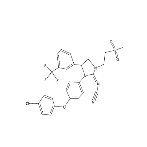 CS(=O)(=O)CCN1CC(c2cccc(C(F)(F)F)c2)N(c2ccc(Oc3ccc(Cl)cc3)cc2)/C1=N\C#N